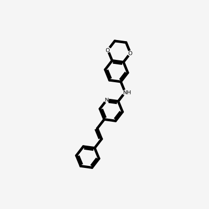 C(=C\c1ccc(Nc2ccc3c(c2)OCCO3)nc1)/c1ccccc1